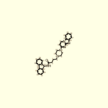 O=C(CCCN1CCN(c2ccn3c(n2)nc2ccccc23)CC1)NC1c2ccccc2-c2ccccc21